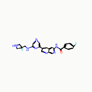 O=C(Nc1cc2cc(-c3cncc(NCC4(F)CNC4)n3)cnc2cn1)c1ccc(F)cc1